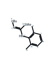 CCCC/N=C(/Nc1c(C)cccc1C)SC